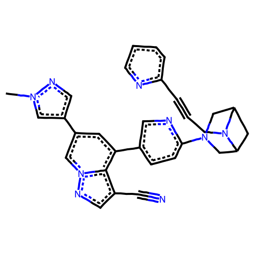 Cn1cc(-c2cc(-c3ccc(N4CC5CC(C4)N5CC#Cc4ccccn4)nc3)c3c(C#N)cnn3c2)cn1